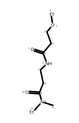 CCOCCC(=O)NCCC(=O)N(C)CC